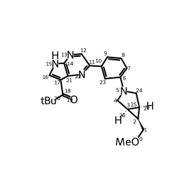 COC[C@H]1[C@H]2CN(c3cccc(-c4cnc5[nH]cc(C(=O)C(C)(C)C)c5n4)c3)C[C@@H]12